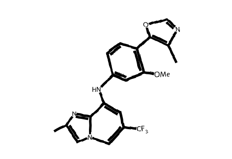 COc1cc(Nc2cc(C(F)(F)F)cn3cc(C)nc23)ccc1-c1ocnc1C